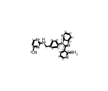 N#Cc1ccnc(NCc2ccc(-n3c(-c4cccnc4N)nc4cccnc43)cc2)n1